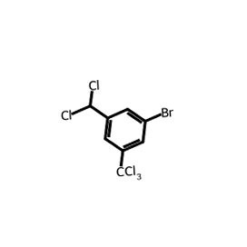 ClC(Cl)c1cc(Br)cc(C(Cl)(Cl)Cl)c1